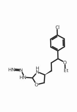 CCOC(CC[C@H]1COC(NN=N)N1)c1ccc(Cl)cc1